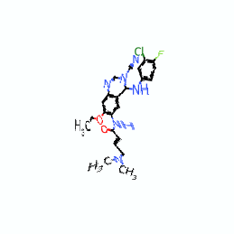 CCOc1cc2c(cc1NC(=O)C=CCN(C)C)C(Nc1ccc(F)c(Cl)c1)N(C#N)C=N2